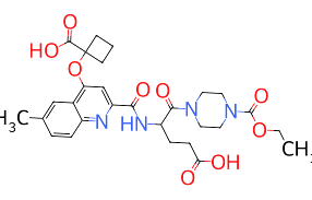 CCOC(=O)N1CCN(C(=O)C(CCC(=O)O)NC(=O)c2cc(OC3(C(=O)O)CCC3)c3cc(C)ccc3n2)CC1